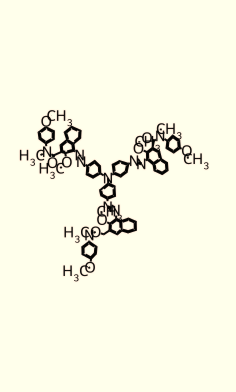 COc1ccc(N(C)OCc2cc3ccccc3c(N=Nc3ccc(N(c4ccc(N=Nc5c(OC)c(C(=O)N(C)c6ccc(OC)cc6)cc6ccccc56)cc4)c4ccc(N=Nc5c(OC)c(C(=O)N(C)c6ccc(OC)cc6)cc6ccccc56)cc4)cc3)c2OC)cc1